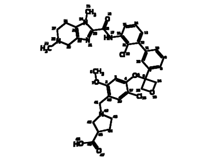 COc1cc(OC2(c3cccc(-c4cccc(NC(=O)c5nc6c(n5C)CCN(C)C6)c4Cl)c3)COC2)c(Cl)cc1CN1CCC(C(=O)O)C1